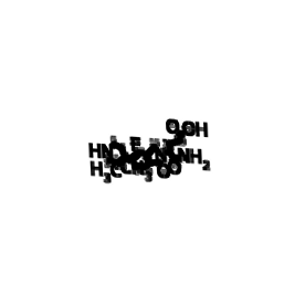 CC1(C)CNCCC1c1ccc2c(c1F)CN(C(CCC(=O)O)C(N)=O)C2=O